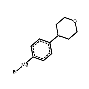 [Br][Mg][c]1ccc(N2CCOCC2)cc1